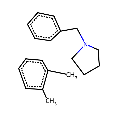 Cc1ccccc1C.c1ccc(CN2CCCC2)cc1